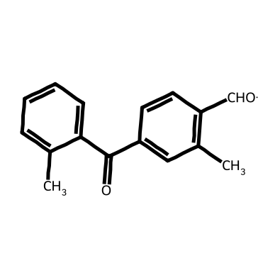 Cc1cc(C(=O)c2ccccc2C)ccc1[C]=O